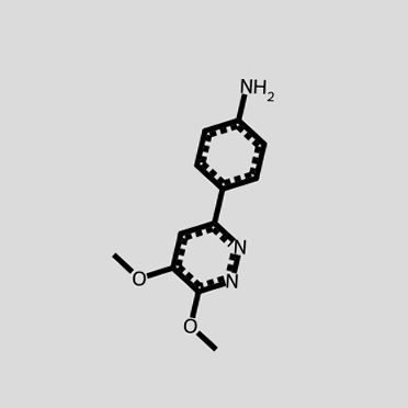 COc1cc(-c2ccc(N)cc2)nnc1OC